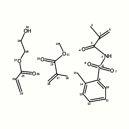 C=C(C)C(=O)NS(=O)(=O)c1ccccc1C.C=C(C)C(=O)OC.C=CC(=O)OCCO